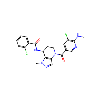 CNc1ncc(C(=O)N2CCC(NC(=O)c3ccccc3Cl)c3c2cnn3C)cc1Cl